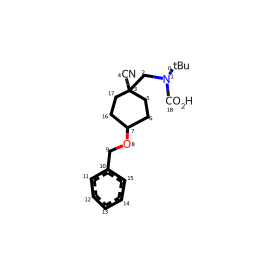 CC(C)(C)N(CC1(C#N)CCC(OCc2ccccc2)CC1)C(=O)O